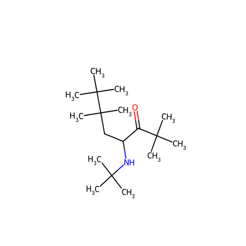 CC(C)(C)NC(CC(C)(C)C(C)(C)C)C(=O)C(C)(C)C